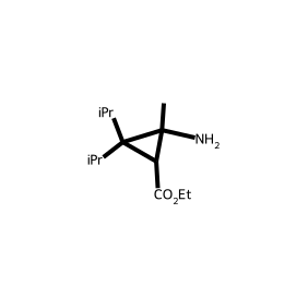 CCOC(=O)C1C(C)(N)C1(C(C)C)C(C)C